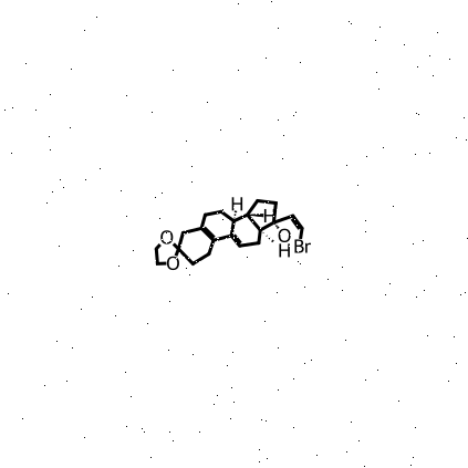 C[C@]12CC=C3C4=C(CC[C@H]3[C@@H]1CC[C@@]2(O)/C=C\Br)CC1(CC4)OCCO1